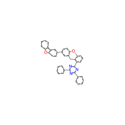 c1ccc(-c2nc(-c3ccccc3)nc(-c3cccc4c3Cc3cc(-c5ccc6oc7ccccc7c6c5)ccc3O4)n2)cc1